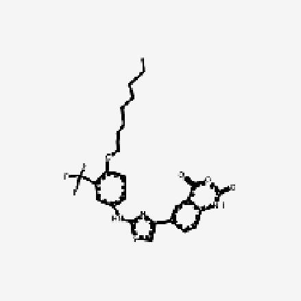 CCCCCCCCOc1ccc(Nc2nc(-c3ccc4[nH]c(=O)oc(=O)c4c3)cs2)cc1C(F)(F)F